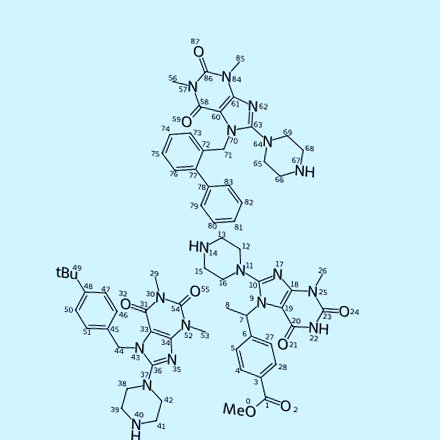 COC(=O)c1ccc(C(C)n2c(N3CCNCC3)nc3c2c(=O)[nH]c(=O)n3C)cc1.Cn1c(=O)c2c(nc(N3CCNCC3)n2Cc2ccc(C(C)(C)C)cc2)n(C)c1=O.Cn1c(=O)c2c(nc(N3CCNCC3)n2Cc2ccccc2-c2ccccc2)n(C)c1=O